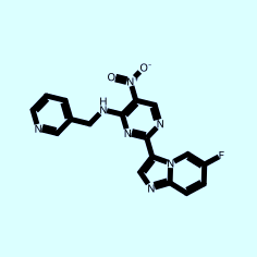 O=[N+]([O-])c1cnc(-c2cnc3ccc(F)cn23)nc1NCc1cccnc1